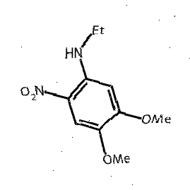 CCNc1cc(OC)c(OC)cc1[N+](=O)[O-]